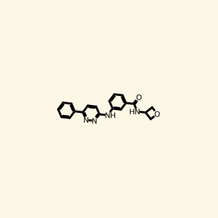 O=C(NC1COC1)c1cccc(Nc2ccc(-c3ccccc3)nn2)c1